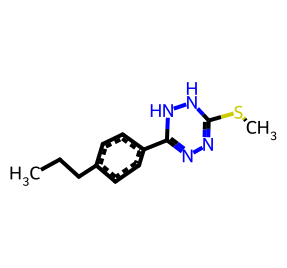 CCCc1ccc(C2=NN=C(SC)NN2)cc1